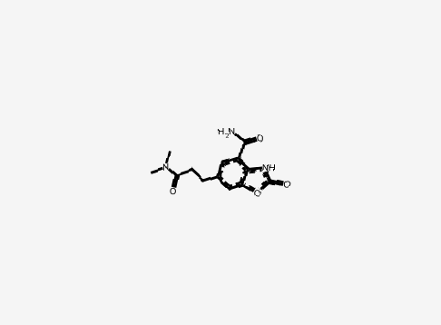 CN(C)C(=O)[CH]Cc1cc(C(N)=O)c2[nH]c(=O)oc2c1